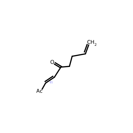 C=CCCC(=O)/C=C/C(C)=O